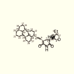 CC[C@@]12COC([C@H](n3cc(C#Cc4ccc5c6cccc7cccc(c8cccc4c85)c76)c(=O)[nH]c3=O)O1)[C@H]2O